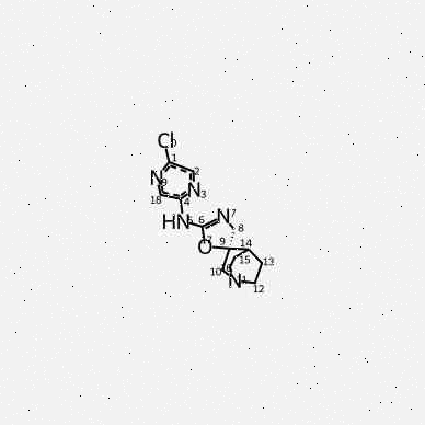 Clc1cnc(NC2=NC[C@]3(CN4CCC3CC4)O2)cn1